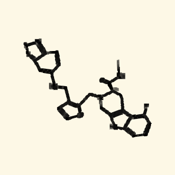 CNC(=O)[C@H]1Cc2c([nH]c3cccc(F)c23)CN1Cc1occc1CNc1ccc2nsnc2c1